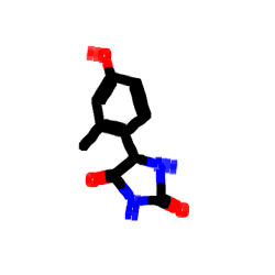 Cc1cc(O)ccc1C1NC(=O)NC1=O